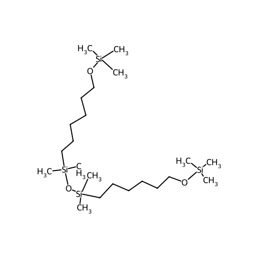 C[Si](C)(C)OCCCCCC[Si](C)(C)O[Si](C)(C)CCCCCCO[Si](C)(C)C